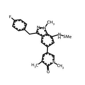 CSNc1cc(-c2cc(C)c(=O)n(C)c2)cc2c(Cc3ccc(F)cc3)nn(C)c12